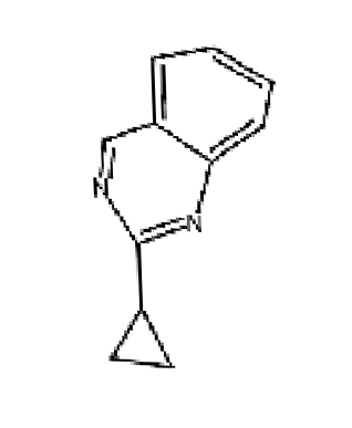 c1ccc2nc(C3CC3)ncc2c1